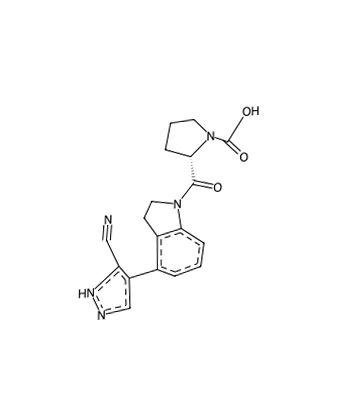 N#Cc1[nH]ncc1-c1cccc2c1CCN2C(=O)[C@@H]1CCCN1C(=O)O